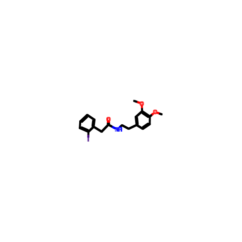 COc1ccc(CCNC(=O)Cc2ccccc2I)cc1OC